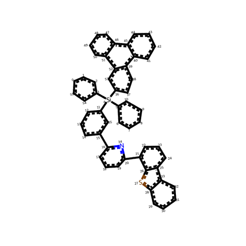 c1ccc([Si](c2ccccc2)(c2cccc(-c3cccc(-c4cccc5c4sc4ccccc45)n3)c2)c2ccc3c4ccccc4c4ccccc4c3c2)cc1